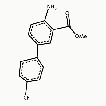 COC(=O)c1cc(-c2ccc(C(F)(F)F)cc2)ccc1N